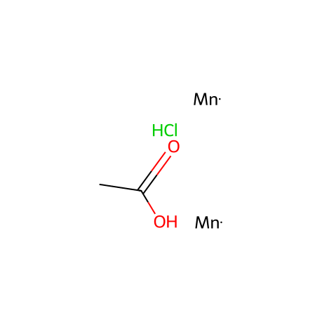 CC(=O)O.Cl.[Mn].[Mn]